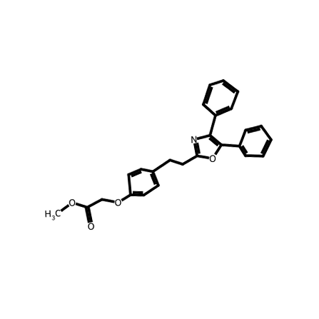 COC(=O)COc1ccc(CCc2nc(-c3ccccc3)c(-c3ccccc3)o2)cc1